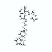 O=C(OCn1c(=O)ccc2ccc(OCCCCN3CCN(c4cccc5sccc45)CC3)cc21)C1CCCC1